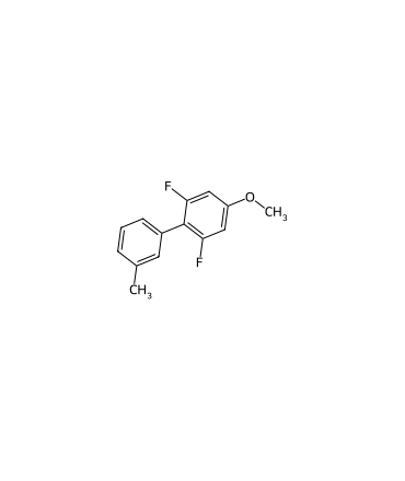 COc1cc(F)c(-c2cccc(C)c2)c(F)c1